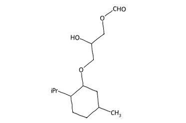 CC1CCC(C(C)C)C(OCC(O)COC=O)C1